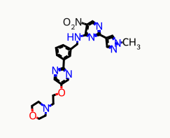 Cn1cc(-c2ncc([N+](=O)[O-])c(NCc3cccc(-c4ncc(OCCN5CCOCC5)cn4)c3)n2)cn1